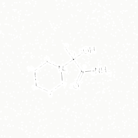 CC(O)(C(N)=O)N1CC[CH]CC1